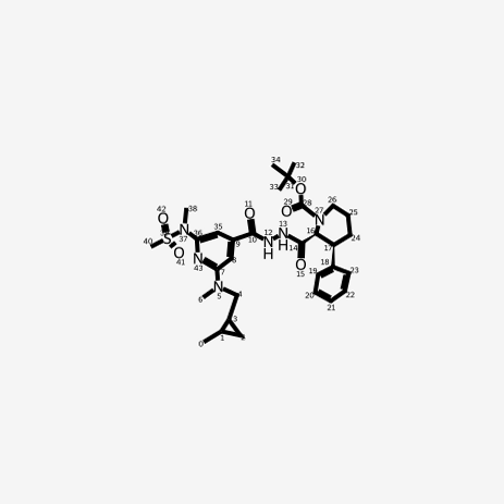 CC1CC1CN(C)c1cc(C(=O)NNC(=O)[C@@H]2[C@H](c3ccccc3)CCCN2C(=O)OC(C)(C)C)cc(N(C)S(C)(=O)=O)n1